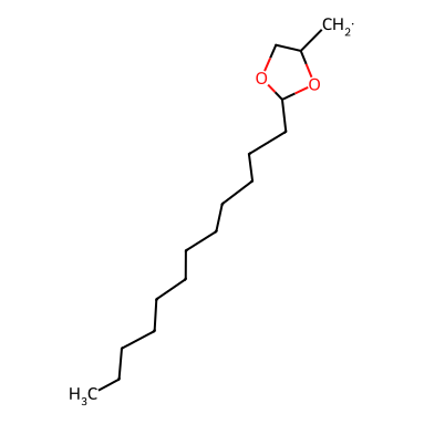 [CH2]C1COC(CCCCCCCCCCCC)O1